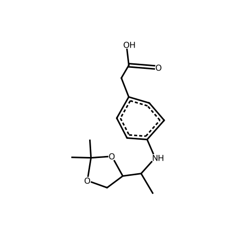 CC(Nc1ccc(CC(=O)O)cc1)C1COC(C)(C)O1